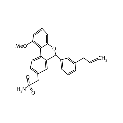 C=CCc1cccc(C2Oc3cccc(OC)c3-c3ccc(CS(N)(=O)=O)cc32)c1